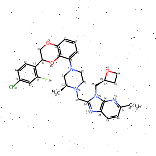 C[C@H]1CN(c2cccc3c2OC(c2ccc(Cl)cc2F)CO3)CCN1Cc1nc2ccc(C(=O)O)nc2n1C[C@@H]1CCO1